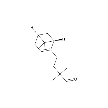 CC(C)(C=O)CCC1=CC[C@H]2C[C@H]1C2(C)C